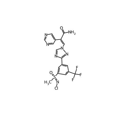 CS(=O)(=NCl)c1cc(-c2ncn(/C=C(/C(N)=O)c3cncnc3)n2)cc(C(F)(F)F)c1